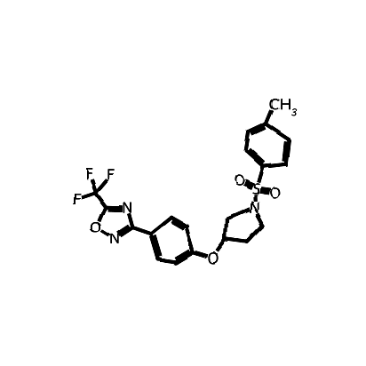 Cc1ccc(S(=O)(=O)N2CCC(Oc3ccc(-c4noc(C(F)(F)F)n4)cc3)C2)cc1